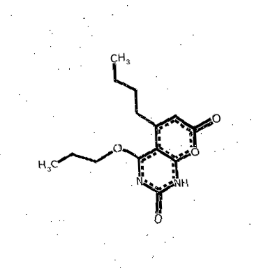 CCCCc1cc(=O)oc2[nH]c(=O)nc(OCCC)c12